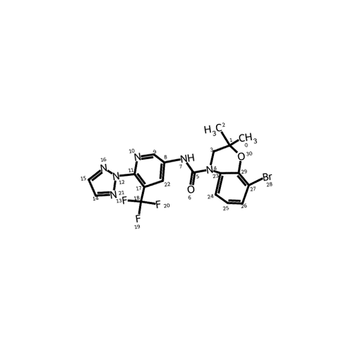 CC1(C)CN(C(=O)Nc2cnc(-n3nccn3)c(C(F)(F)F)c2)c2cccc(Br)c2O1